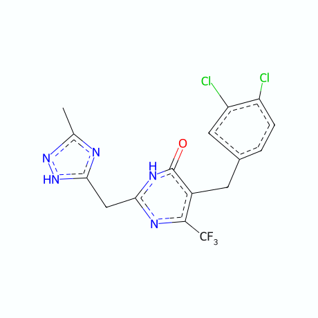 Cc1n[nH]c(Cc2nc(C(F)(F)F)c(Cc3ccc(Cl)c(Cl)c3)c(=O)[nH]2)n1